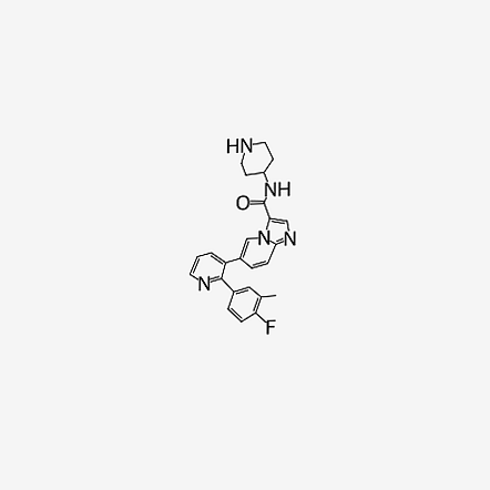 Cc1cc(-c2ncccc2-c2ccc3ncc(C(=O)NC4CCNCC4)n3c2)ccc1F